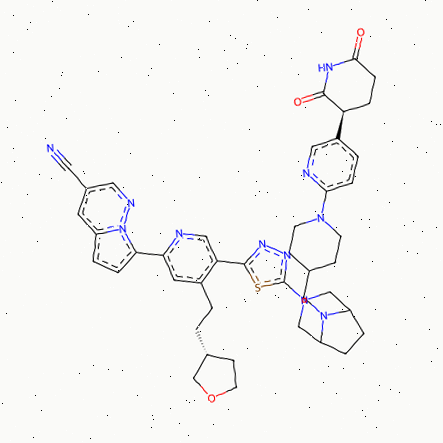 N#Cc1cnn2c(-c3cc(CC[C@@H]4CCOC4)c(-c4nnc(N5CC6CCC(C5)N6CC5CCN(c6ccc([C@@H]7CCC(=O)NC7=O)cn6)CC5)s4)cn3)ccc2c1